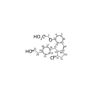 O=C(O)COc1cccc(C[C@H]2CCC(Cl)C2Cc2ccc(CCO)cc2)c1